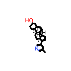 Cc1cncc(C2=CC[C@H]3[C@@H]4CC=C5C[C@@H](O)CC[C@]5(C)[C@H]4CC[C@]23C)c1